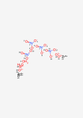 O.O.O=[N+]([O-])[O-].O=[N+]([O-])[O-].O=[N+]([O-])[O-].O=[N+]([O-])[O-].[O-2].[O-2].[O-2].[O-2].[Zr+4].[Zr+4].[Zr+4]